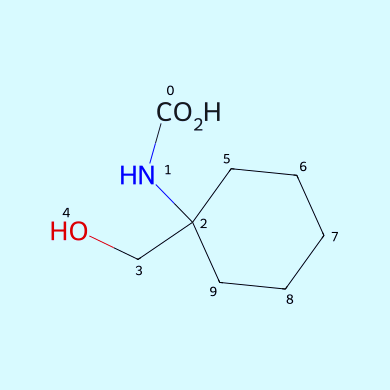 O=C(O)NC1(CO)CCCCC1